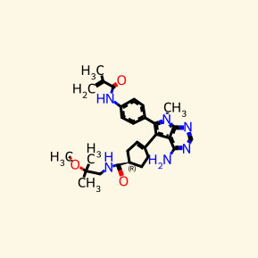 C=C(C)C(=O)Nc1ccc(-c2c(C3=CC[C@H](C(=O)NCC(C)(C)OC)CC3)c3c(N)ncnc3n2C)cc1